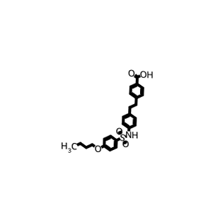 CCCCOc1ccc(S(=O)(=O)Nc2ccc(CCc3ccc(C(=O)O)cc3)cc2)cc1